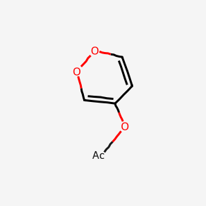 CC(=O)OC1=COOC=C1